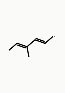 [CH2]/C=C/C(C)=C/C